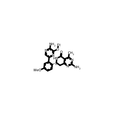 CCOc1nc(-c2cc(OC)ccc2[C@H]2Cc3nc(N)nc(C)c3C(=O)N2)cnc1N